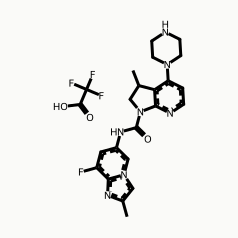 Cc1cn2cc(NC(=O)N3CC(C)c4c(N5CCNCC5)ccnc43)cc(F)c2n1.O=C(O)C(F)(F)F